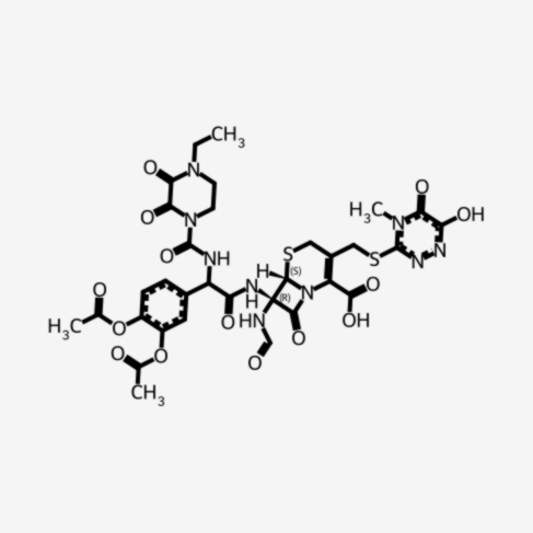 CCN1CCN(C(=O)NC(C(=O)N[C@]2(NC=O)C(=O)N3C(C(=O)O)=C(CSc4nnc(O)c(=O)n4C)CS[C@H]32)c2ccc(OC(C)=O)c(OC(C)=O)c2)C(=O)C1=O